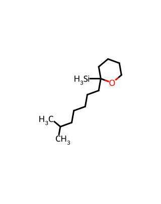 CC(C)CCCCCC1([SiH3])CCCCO1